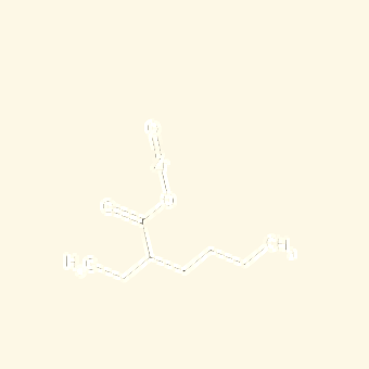 CCCCC(CC)C(=O)[O][Zr]=[O]